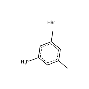 Br.Cc1cc(C)cc(P)c1